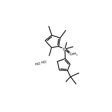 CC1=CC(C)[C]([Zr]([CH3])([CH3])(=[GeH2])[C]2=CC(C(C)(C)C)=CC2)=C1C.Cl.Cl